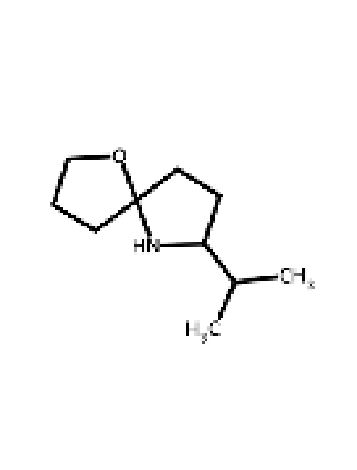 CC(C)C1CCC2(CCCO2)N1